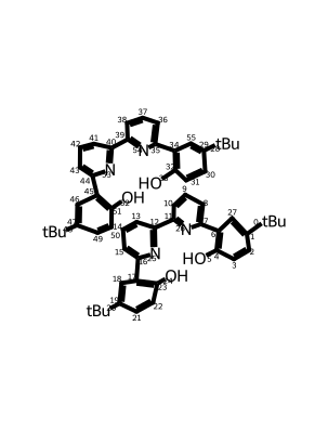 CC(C)(C)c1ccc(O)c(-c2cccc(-c3cccc(-c4cc(C(C)(C)C)ccc4O)n3)n2)c1.CC(C)(C)c1ccc(O)c(-c2cccc(-c3cccc(-c4cc(C(C)(C)C)ccc4O)n3)n2)c1